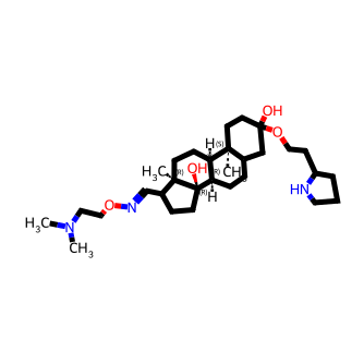 CN(C)CCON=CC1CC[C@@]2(O)[C@@H]3CCC4CC(O)(OCCC5CCCN5)CC[C@]4(C)[C@@H]3CC[C@]12C